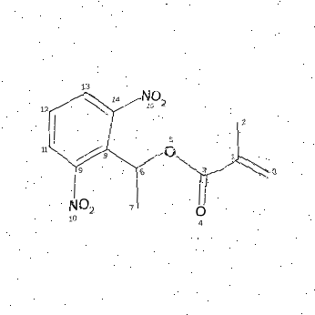 C=C(C)C(=O)OC(C)c1c([N+](=O)[O-])cccc1[N+](=O)[O-]